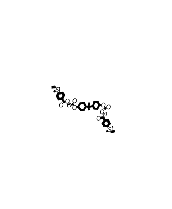 C=C[Si](C)(C)c1ccc(C(=O)OOC(=O)OC2CCC(C(C)(C)C3CCC(OC(=O)OOC(=O)c4ccc([Si](C)(C)C=C)cc4)CC3)CC2)cc1